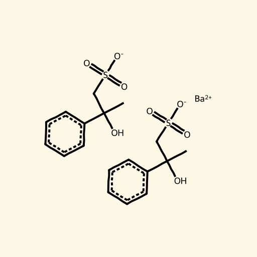 CC(O)(CS(=O)(=O)[O-])c1ccccc1.CC(O)(CS(=O)(=O)[O-])c1ccccc1.[Ba+2]